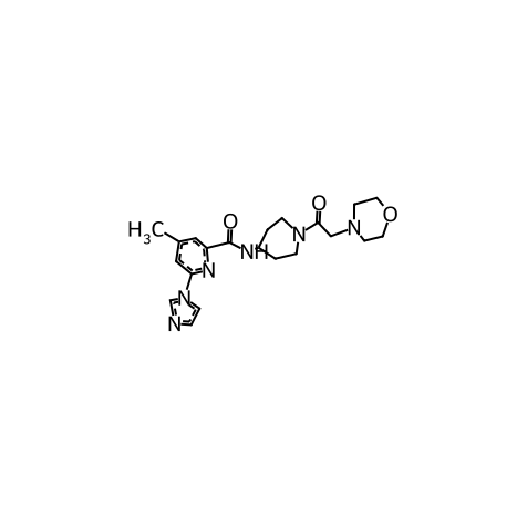 Cc1cc(C(=O)NC2CCN(C(=O)CN3CCOCC3)CC2)nc(-n2ccnc2)c1